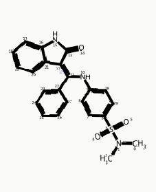 CN(C)S(=O)(=O)c1ccc(N/C(=C2\C(=O)Nc3ccccc32)c2ccccc2)cc1